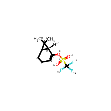 CC1(C)C2CCC=C(OS(=O)(=O)C(F)(F)F)[C@H]21